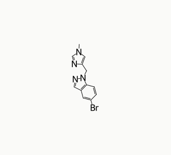 Cn1cnc(Cn2ncc3cc(Br)ccc32)c1